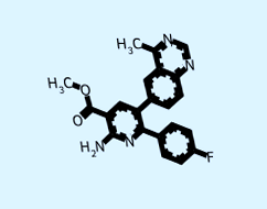 COC(=O)c1cc(-c2ccc3ncnc(C)c3c2)c(-c2ccc(F)cc2)nc1N